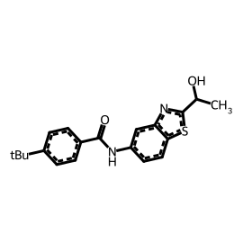 CC(O)c1nc2cc(NC(=O)c3ccc(C(C)(C)C)cc3)ccc2s1